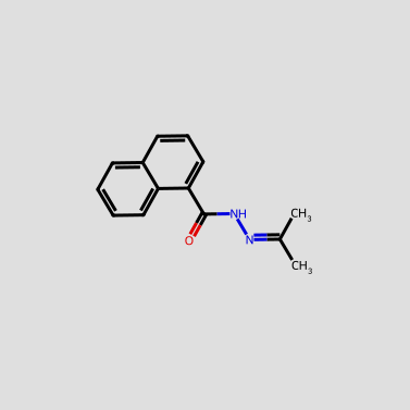 CC(C)=NNC(=O)c1cccc2ccccc12